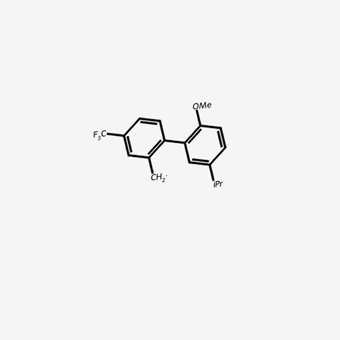 [CH2]c1cc(C(F)(F)F)ccc1-c1cc(C(C)C)ccc1OC